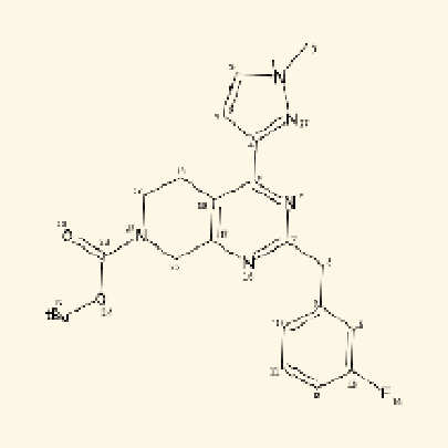 Cn1ccc(-c2nc(Cc3cccc(F)c3)nc3c2CCN(C(=O)OC(C)(C)C)C3)n1